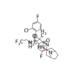 CC(C)(Oc1ccc(F)cc1Cl)C(=O)NC1CC2CCC(C1)N2c1ncc(C(=O)NCC(F)(F)F)cc1F